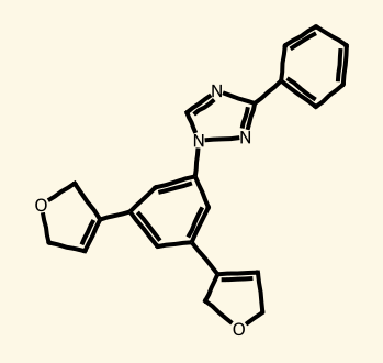 C1=C(c2cc(C3=CCOC3)cc(-n3cnc(-c4ccccc4)n3)c2)COC1